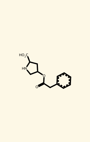 O=C(Cc1ccccc1)OC1CNC(C(=O)O)C1